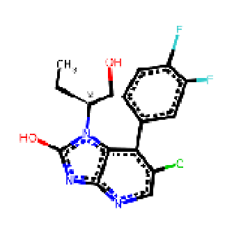 CC[C@@H](CO)n1c(O)nc2ncc(Cl)c(-c3ccc(F)c(F)c3)c21